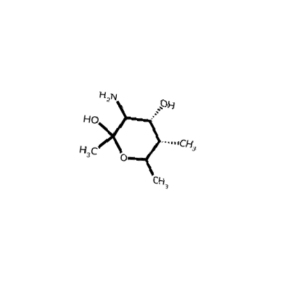 CC1OC(C)(O)C(N)[C@H](O)[C@@H]1C